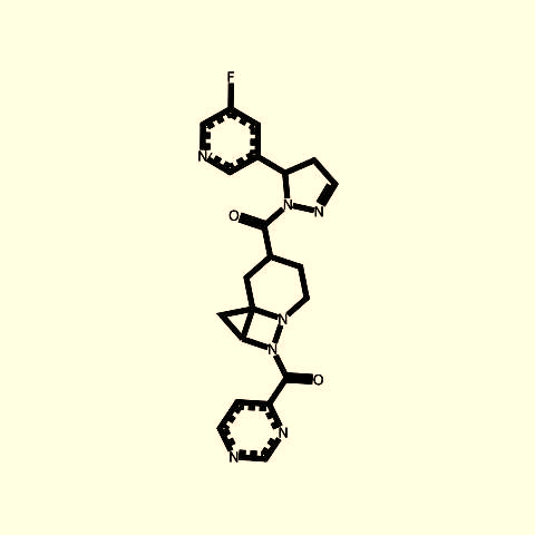 O=C(C1CCN2N(C(=O)c3ccncn3)C3CC32C1)N1N=CCC1c1cncc(F)c1